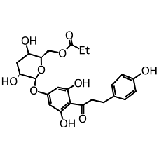 CCC(=O)OC[C@H]1O[C@@H](Oc2cc(O)c(C(=O)CCc3ccc(O)cc3)c(O)c2)[C@H](O)CC1O